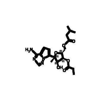 CCC(=O)O[C@H]1[C@@H](O)[C@](C)(c2ccc3c(N)ncnn23)O[C@@H]1COC(=O)CC(C)C